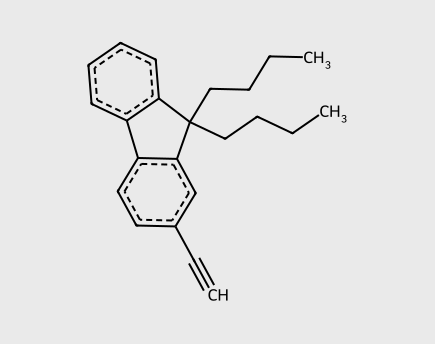 C#Cc1ccc2c(c1)C(CCCC)(CCCC)c1ccccc1-2